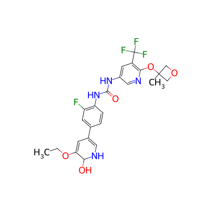 CCOC1=CC(c2ccc(NC(=O)Nc3cnc(OC4(C)COC4)c(C(F)(F)F)c3)c(F)c2)=CNC1O